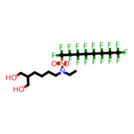 CCN(CCCCC(CO)CO)S(=O)(=O)C(F)(F)C(F)(F)C(F)(F)C(F)(F)C(F)(F)C(F)(F)C(F)(F)C(F)(F)F